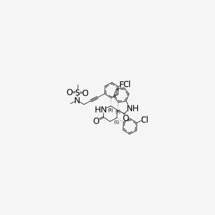 CN(CC#Cc1ccc(F)cc1[C@H]1NC(=O)C[C@@H](c2cccc(Cl)c2)[C@]12C(=O)Nc1cc(Cl)ccc12)S(C)(=O)=O